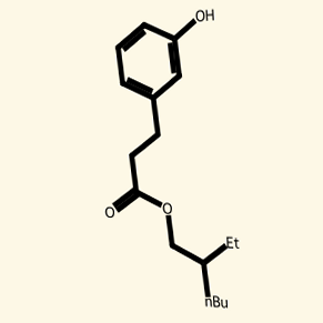 CCCCC(CC)COC(=O)CCc1cccc(O)c1